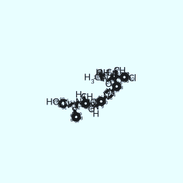 Cc1cc(S(=O)(=O)Nc2ccc(N3CCN(c4cccc(-c5c(C(=O)N6CC(C)(O)C6)c(C)n(C)c5-c5ccc(Cl)cc5)c4)CC3)cc2)ccc1N[C@H](CCN1CCC(O)CC1)CSc1ccccc1